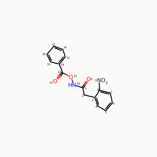 O=C(Cc1ccccc1[N+](=O)[O-])NOC(=O)c1ccccc1